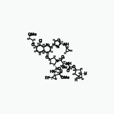 CC[C@@H]1C[C@]1(NC(=O)[C@@H]1C[C@@H](Oc2cc(-c3coc(NC4CC4)n3)nc3c(Cl)c(OCCOC)ccc23)CN1C(=O)[C@@H](NC(=O)O[C@@H]1C[C@@H]2C[C@@H]2C1)C(C)(C)C)C(=O)OC